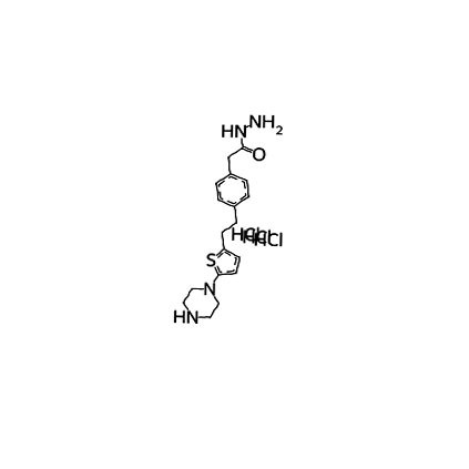 Cl.Cl.Cl.NNC(=O)Cc1ccc(CCc2ccc(N3CCNCC3)s2)cc1